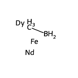 BC.[Dy].[Fe].[Nd]